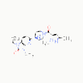 Cc1cc(C(=O)N2CC3CCC2CN3c2ccc3c(n2)n(C)c(=O)n3CC(C)(C)C)n(C)n1